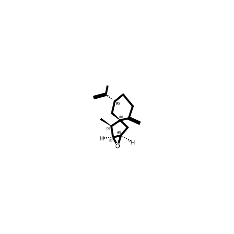 C=C(C)[C@@H]1CCC(=C)[C@]2(C1)C[C@H]1O[C@H]1[C@H]2C